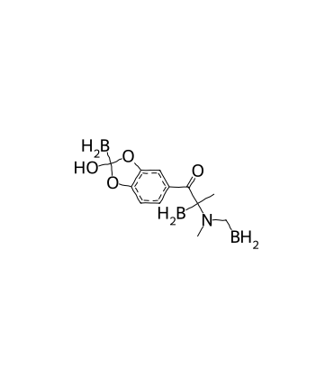 BCN(C)C(B)(C)C(=O)c1ccc2c(c1)OC(B)(O)O2